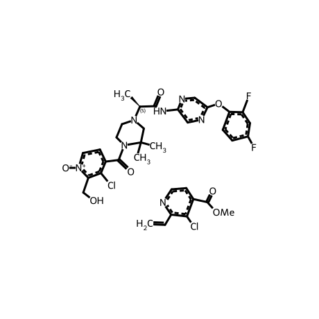 C=Cc1nccc(C(=O)OC)c1Cl.C[C@@H](C(=O)Nc1cnc(Oc2ccc(F)cc2F)cn1)N1CCN(C(=O)c2cc[n+]([O-])c(CO)c2Cl)C(C)(C)C1